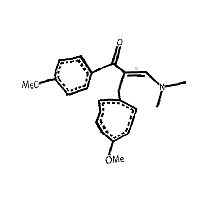 COc1ccc(C(=O)/C(=C/N(C)C)c2ccc(OC)cc2)cc1